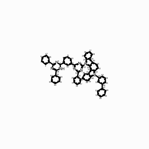 c1ccc(C2=NC(c3cccc(-c4nc(-c5ccccc5)nc(-n5c6ccccc6c6ccc7c(c8ccccc8n7-c7cccc(-c8ccccc8)c7)c65)n4)c3)NC(c3ccccc3)=N2)cc1